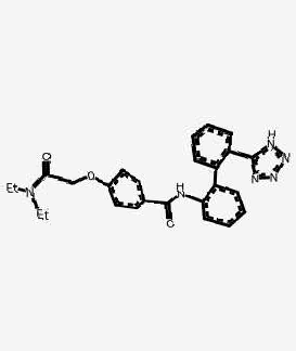 CCN(CC)C(=O)COc1ccc(C(=O)Nc2ccccc2-c2ccccc2-c2nnn[nH]2)cc1